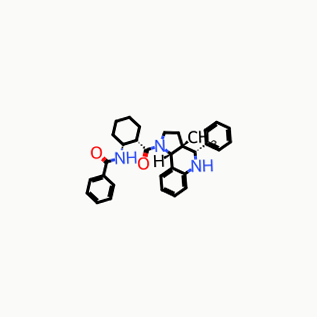 C[C@]12CCN(C(=O)[C@H]3CCCC[C@H]3NC(=O)c3ccccc3)[C@H]1c1ccccc1N[C@H]2c1ccccc1